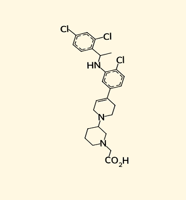 CC(Nc1cc(C2=CCN(C3CCCN(CC(=O)O)C3)CC2)ccc1Cl)c1ccc(Cl)cc1Cl